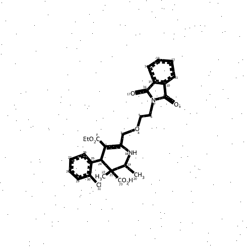 CCOC(=O)C1=C(COCCN2C(=O)c3ccccc3C2=O)NC(C)C(C)(C(=O)O)C1c1ccccc1Cl